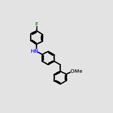 COc1ccccc1Cc1ccc(Nc2ccc(F)cc2)cc1